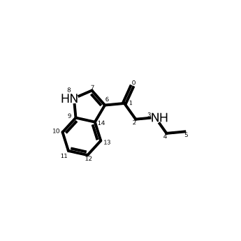 C=C(CNCC)c1c[nH]c2ccccc12